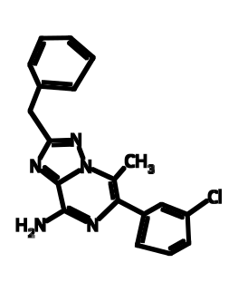 Cc1c(-c2cccc(Cl)c2)nc(N)c2nc(Cc3ccccc3)nn12